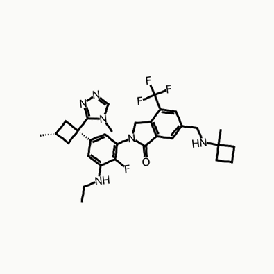 CCNc1cc([C@]2(c3nncn3C)C[C@H](C)C2)cc(N2Cc3c(cc(CNC4(C)CCC4)cc3C(F)(F)F)C2=O)c1F